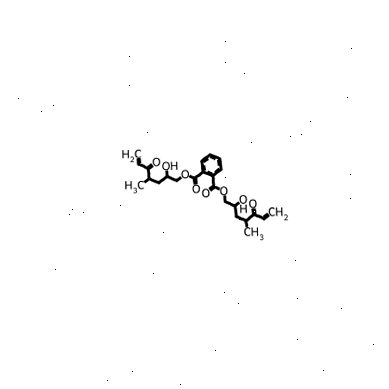 C=CC(=O)C(C)CC(O)COC(=O)c1ccccc1C(=O)OCC(O)CC(C)C(=O)C=C